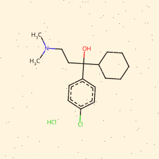 CN(C)CCC(O)(c1ccc(Cl)cc1)C1CCCCC1.Cl